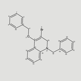 BrC1=C(OCc2ccccc2)c2ccccc2N(Cc2ccccc2)C1